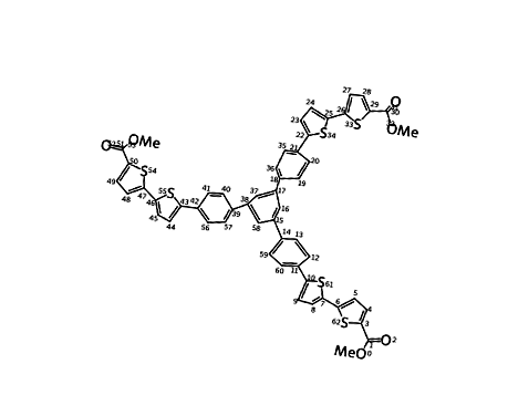 COC(=O)c1ccc(-c2ccc(-c3ccc(-c4cc(-c5ccc(-c6ccc(-c7ccc(C(=O)OC)s7)s6)cc5)cc(-c5ccc(-c6ccc(-c7ccc(C(=O)OC)s7)s6)cc5)c4)cc3)s2)s1